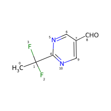 CC(F)(F)c1ncc(C=O)cn1